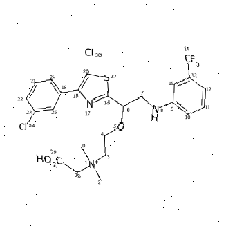 C[N+](C)(CCOC(CNc1cccc(C(F)(F)F)c1)c1nc(-c2cccc(Cl)c2)cs1)CC(=O)O.[Cl-]